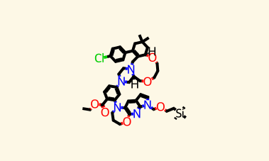 CCOC(=O)c1ccc(N2CCN3CC4=C(c5ccc(Cl)cc5)CC(C)(C)C[C@H]4OCCCOC[C@@H]3C2)cc1N1CCCOc2nc3c(ccn3COCC[Si](C)(C)C)cc21